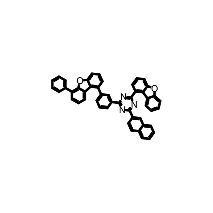 c1ccc(-c2cccc3c2oc2cccc(-c4cccc(-c5nc(-c6ccc7ccccc7c6)nc(-c6cccc7oc8ccccc8c67)n5)c4)c23)cc1